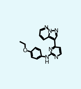 CCOc1ccc(Nc2nccc(-c3cnn4ncccc34)n2)cc1